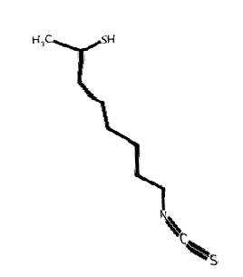 CC(S)CCCCCCN=C=S